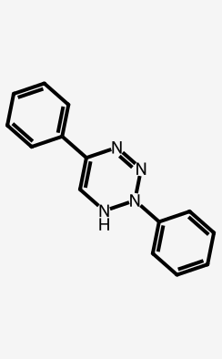 C1=C(c2ccccc2)N=NN(c2ccccc2)N1